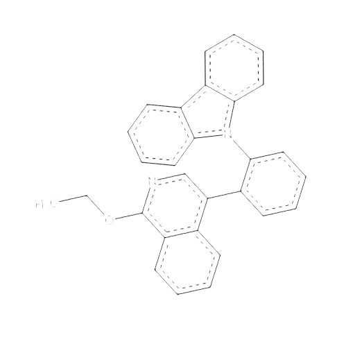 CCOc1ncc(-c2ccccc2-n2c3ccccc3c3ccccc32)c2ccccc12